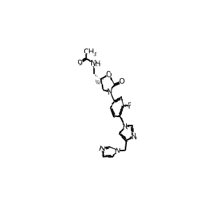 CC(=O)NC[C@H]1CN(c2ccc(-n3cnc(Cn4ccnc4)c3)c(F)c2)C(=O)O1